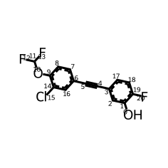 Oc1cc(C#Cc2ccc(OC(F)F)c(Cl)c2)ccc1F